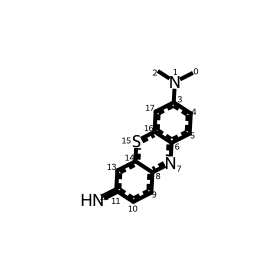 CN(C)c1ccc2nc3ccc(=N)cc-3sc2c1